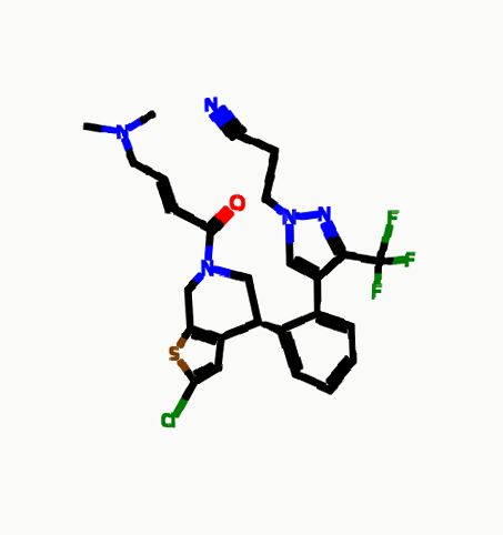 CN(C)C/C=C/C(=O)N1Cc2sc(Cl)cc2[C@H](c2ccccc2-c2cn(CCC#N)nc2C(F)(F)F)C1